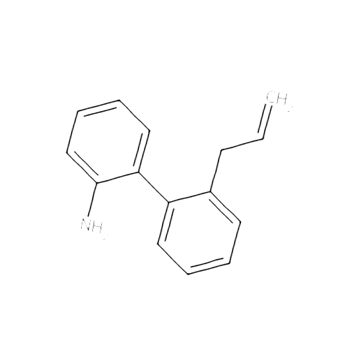 C=CCc1ccccc1-c1ccccc1N